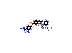 CC(=Cc1ccc(C(=O)Oc2ccc(C(=N)N)cc2)cc1)C(=O)N(CC(=O)O)C1CCCCC1